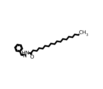 CCCCCCCCCCCCCCCCCC(=O)N/N=C\c1ccccc1